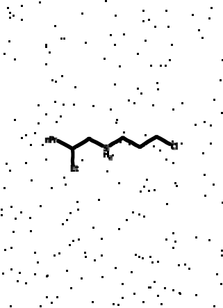 CCCC(CC)C[SiH2]CCCCl